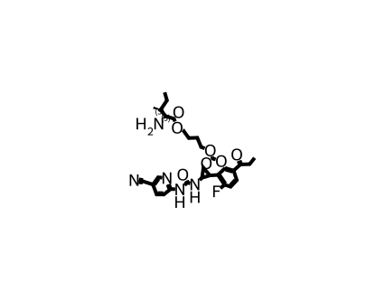 CCC(=O)c1ccc(F)c(C2CC2NC(=O)Nc2ccc(C#N)cn2)c1OC(=O)OCCCCOC(=O)[C@@H](N)[C@@H](C)CC